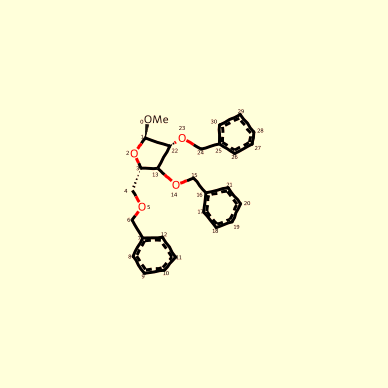 CO[C@@H]1O[C@@H](COCc2ccccc2)C(OCc2ccccc2)[C@H]1OCc1ccccc1